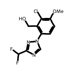 COc1ccc(-n2cnc(C(F)F)n2)c(CO)c1Cl